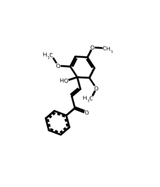 COC1=CC(OC)C(O)(C=CC(=O)c2ccccc2)C(OC)=C1